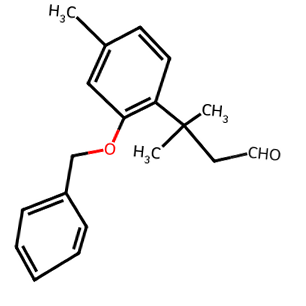 Cc1ccc(C(C)(C)CC=O)c(OCc2ccccc2)c1